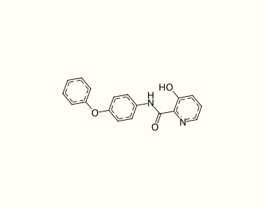 O=C(Nc1ccc(Oc2ccccc2)cc1)c1ncccc1O